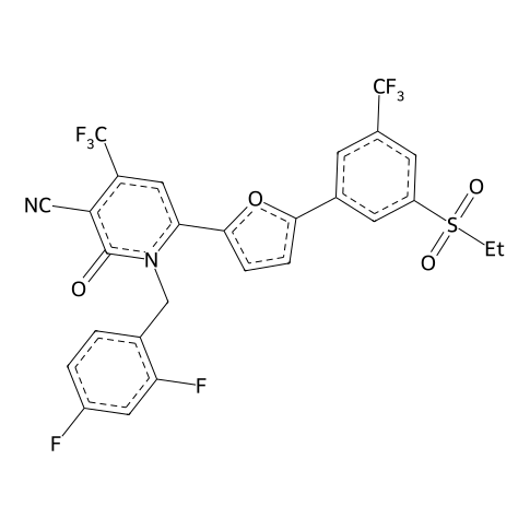 CCS(=O)(=O)c1cc(-c2ccc(-c3cc(C(F)(F)F)c(C#N)c(=O)n3Cc3ccc(F)cc3F)o2)cc(C(F)(F)F)c1